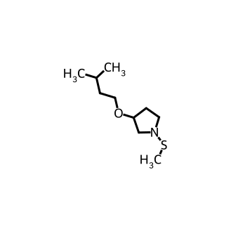 CSN1CCC(OCCC(C)C)C1